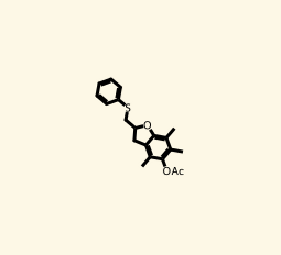 CC(=O)Oc1c(C)c(C)c2c(c1C)CC(CSc1ccccc1)O2